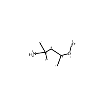 CC(C)OC(C)CC(C)(C)N